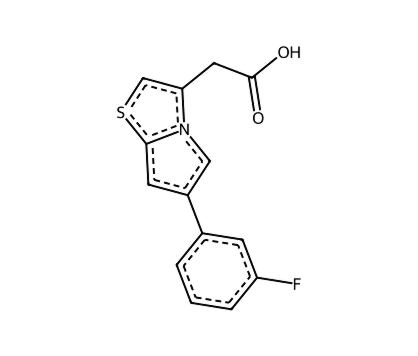 O=C(O)Cc1csc2cc(-c3cccc(F)c3)cn12